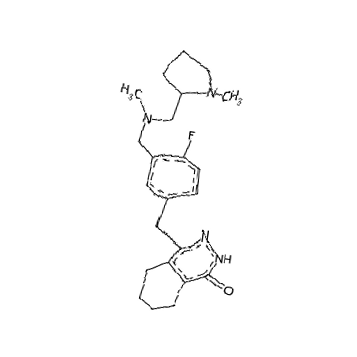 CN(Cc1cc(Cc2n[nH]c(=O)c3c2CCCC3)ccc1F)CC1CCCN1C